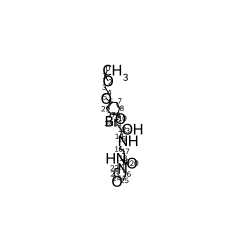 CCOCCOc1ccc(OCC(O)CNCCNC(=O)N2CCOCC2)c(Br)c1